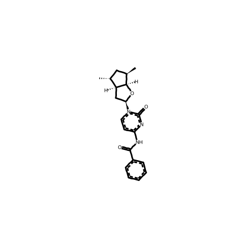 C[C@@H]1C[C@@H](C)[C@H]2O[C@@H](n3ccc(NC(=O)c4ccccc4)nc3=O)C[C@H]21